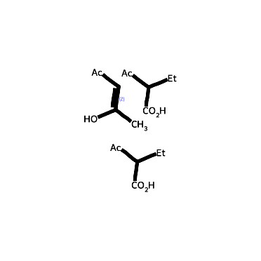 CC(=O)/C=C(/C)O.CCC(C(C)=O)C(=O)O.CCC(C(C)=O)C(=O)O